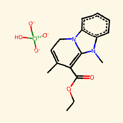 CCOC(=O)C1=C2N(C)c3ccccc3N2CC=C1C.[O-][Cl+3]([O-])([O-])O